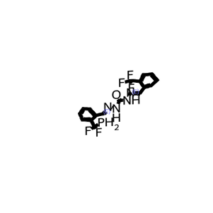 O=C(N/N=C/c1ccccc1C(F)(F)F)N/N=C/c1ccccc1C(F)(F)P